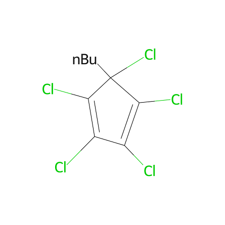 CCCCC1(Cl)C(Cl)=C(Cl)C(Cl)=C1Cl